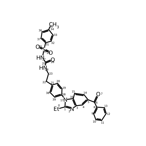 CCc1nc2cc(C(=O)c3ccccc3)ccc2n1-c1ccc(CCNC(=O)NS(=O)(=O)c2ccc(C)cc2)cc1